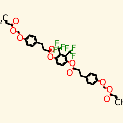 C=CC(=O)OCOc1ccc(CCC(=O)Oc2ccc(OC(=O)CCc3ccc(OCOC(=O)C=C)cc3)c(C(F)(F)F)c2C(F)(F)F)cc1